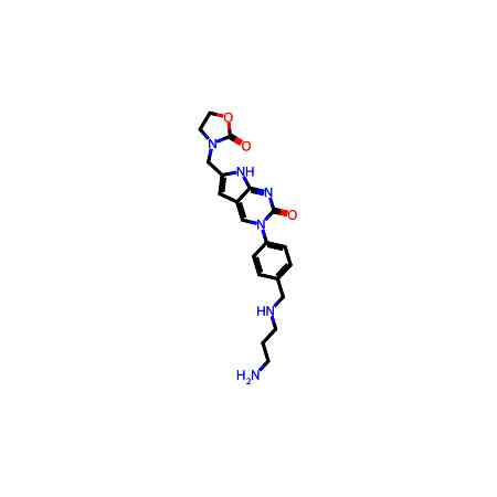 NCCCNCc1ccc(-n2cc3cc(CN4CCOC4=O)[nH]c3nc2=O)cc1